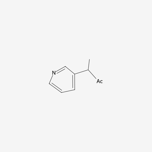 CC(=O)C(C)c1cccnc1